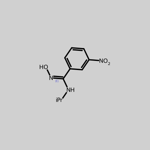 CC(C)N/C(=N/O)c1cccc([N+](=O)[O-])c1